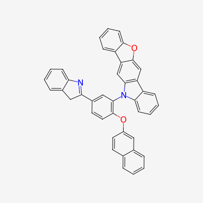 c1ccc2c(c1)CC(c1ccc(Oc3ccc4ccccc4c3)c(-n3c4ccccc4c4cc5oc6ccccc6c5cc43)c1)=N2